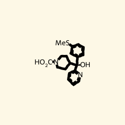 CSc1cccc([C@](O)(c2ccccn2)C2CCN(C(=O)O)CC2)c1